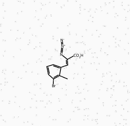 Cc1c(Br)cccc1C=C(N=[N+]=[N-])C(=O)O